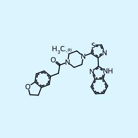 C[C@@H]1CN(c2scnc2-c2nc3ccccc3[nH]2)CCN1C(=O)Cc1ccc2c(c1)CCO2